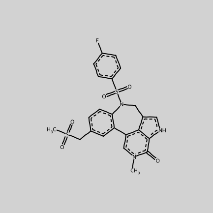 Cn1cc2c3c(c[nH]c3c1=O)CN(S(=O)(=O)c1ccc(F)cc1)c1ccc(CS(C)(=O)=O)cc1-2